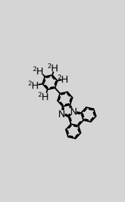 [2H]c1c([2H])c([2H])c(-c2ccc3c(c2)nc2c4ccccc4c4ccccc4n32)c([2H])c1[2H]